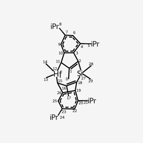 CC1=C2c3c(C(C)C)cc(C(C)C)cc3[CH]1[Hf]([CH3])([CH3])[CH]1C(C)=C(c3c(C(C)C)cc(C(C)C)cc31)[Si]2(C)C